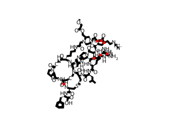 COCC(=O)OCC1CN(C(=O)CCCCCN=[N+]=[N-])CCN1CC(=O)NCCCC[C@@H]1NC(=O)[C@H](Cc2cnc[nH]2)N2CCC[C@H](NC(=O)[C@@H]3CCCN3C(=O)CNC1=O)C(=O)N[C@H](C(=O)N[C@@H](Cc1ccccc1)C(=O)O)CSSC[C@H](NC(=O)[C@H](CC(C)C)NC(=O)[C@H](CCCNC(=N)N)NC(=O)[C@@H]1CCCN1C(=O)[C@H](CCCNC(=N)N)NC(=O)[C@@H]1CCC(=O)N1)C2=O